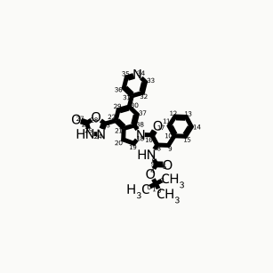 CC(C)(C)OC(=O)NC(Cc1ccccc1)C(=O)N1CCc2c(-c3n[nH]c(=O)o3)cc(-c3ccncc3)cc21